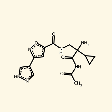 CC(=O)NC(=O)C(N)(CNC(=O)c1cc(-c2cn[nH]c2)no1)C1CC1